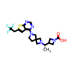 C[C@@H](C1CN(C(=O)O)C1)N1CC2(CCN(c3ncnc4sc(CC(F)(F)F)cc34)C2)C1